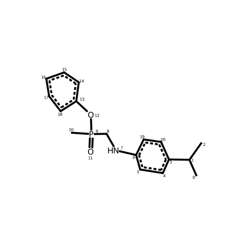 CC(C)c1ccc(NCP(C)(=O)Oc2ccccc2)cc1